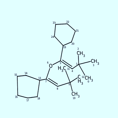 CC(C)(C)C=C(OC(=CC(C)(C)C)C1CCCCC1)C1CCCCC1